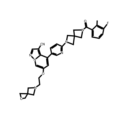 Cc1c(F)cccc1C(=O)N1CC2(C1)CN(c1ccc(-c3cc(OCCN4CC5(COC5)C4)cn4ncc(C#N)c34)cn1)C2